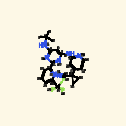 CC(C)(C)Nc1cc(Nc2cc(C3(C#N)CC3)ccn2)nc(-c2cccc(C(F)(F)F)n2)n1